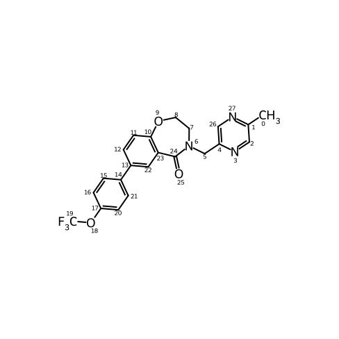 Cc1cnc(CN2CCOc3ccc(-c4ccc(OC(F)(F)F)cc4)cc3C2=O)cn1